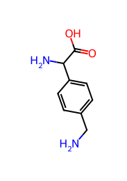 NCc1ccc(C(N)C(=O)O)cc1